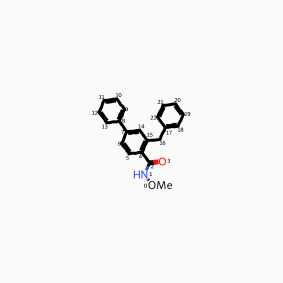 CONC(=O)c1ccc(-c2ccccc2)cc1Cc1ccccc1